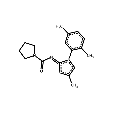 Cc1ccc(C)c(-n2cc(C)sc2=NC(=O)N2CCCC2)c1